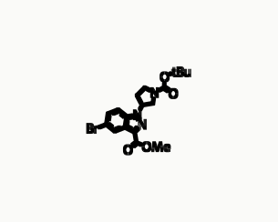 COC(=O)c1nn(C2CCN(C(=O)OC(C)(C)C)C2)c2ccc(Br)cc12